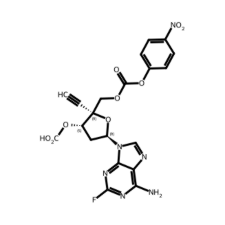 C#C[C@]1(COC(=O)Oc2ccc([N+](=O)[O-])cc2)O[C@@H](n2cnc3c(N)nc(F)nc32)C[C@@H]1OC(=O)O